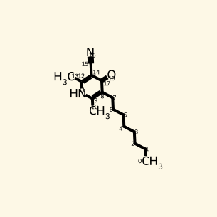 CCCCCCCCc1c(C)[nH]c(C)c(C#N)c1=O